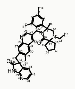 CC1(c2cc(F)cc(F)c2)CN(CI)C2(CCCC2)C(=O)N1Cc1cnc2cc3c(cc2c1)C[C@@]1(C3)C(=O)Nc2ncccc21